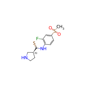 CS(=O)(=O)c1ccc(NC(=S)[C@H]2CCNC2)c(F)c1